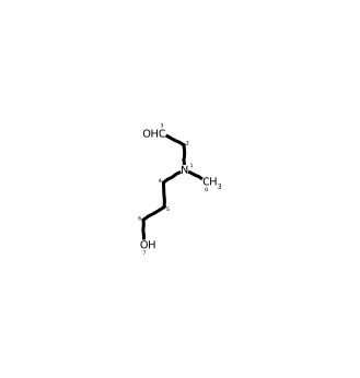 CN(CC=O)CCCO